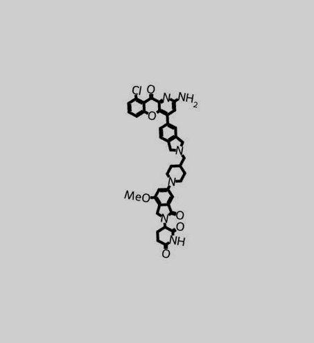 COc1cc(N2CCC(CN3Cc4ccc(-c5cc(N)nc6c(=O)c7c(Cl)cccc7oc56)cc4C3)CC2)cc2c1CN(C1CCC(=O)NC1=O)C2=O